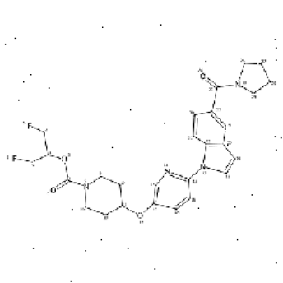 O=C(OC(CF)CF)N1CCC(Oc2ccc(-n3ccc4cc(C(=O)N5CCCC5)ccc43)nc2)CC1